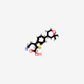 CC1(C)CC(c2ccc3c(CC#N)c(C(=O)O)sc3c2)CCO1